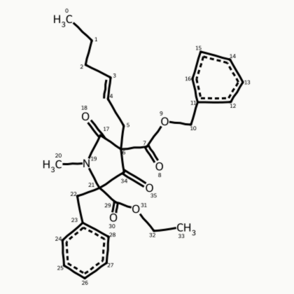 CCC/C=C/CC1(C(=O)OCc2ccccc2)C(=O)N(C)C(Cc2ccccc2)(C(=O)OCC)C1=O